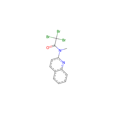 CN(C(=O)C(Br)(Br)Br)c1ccc2ccccc2n1